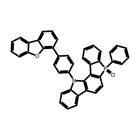 O=P1(c2ccccc2)c2ccccc2-c2c1ccc1c3ccccc3n(-c3ccc(-c4cccc5c4oc4ccccc45)cc3)c21